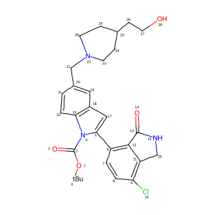 CC(C)(C)OC(=O)n1c(-c2ccc(Cl)c3c2C(=O)NC3)cc2cc(CN3CCC(CCO)CC3)ccc21